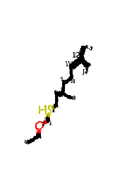 CCOC=[SH]C/C=C(\C)CCC=C(C)C